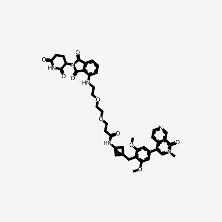 COc1cc(-c2cn(C)c(=O)c3cnccc23)cc(OC)c1CC12CC(NC(=O)CCOCCOCCNc3cccc4c3C(=O)N(C3CCC(=O)NC3=O)C4=O)(C1)C2